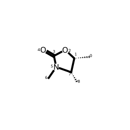 C[C@H]1OC(=O)N(C)[C@H]1C